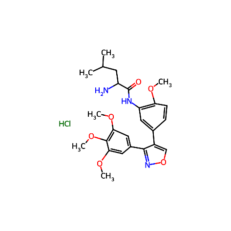 COc1ccc(-c2conc2-c2cc(OC)c(OC)c(OC)c2)cc1NC(=O)C(N)CC(C)C.Cl